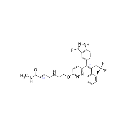 CNC(=O)/C=C/CNCCOc1ccc(/C(=C(/CC(F)(F)F)c2ccccc2)c2ccc3[nH]nc(F)c3c2)nn1